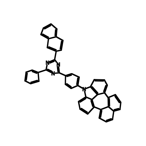 c1ccc(-c2nc(-c3ccc(-n4c5cccc6c5c5c(cccc54)-c4cccc5cccc-6c45)cc3)nc(-c3ccc4ccccc4c3)n2)cc1